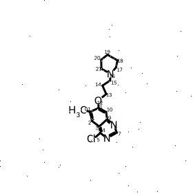 Cc1cc2c(Cl)ncnc2cc1OCCCN1CCCCC1